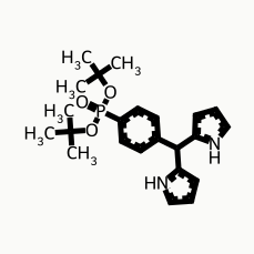 CC(C)(C)OP(=O)(OC(C)(C)C)c1ccc(C(c2ccc[nH]2)c2ccc[nH]2)cc1